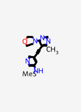 CSNc1cncc(C#Cc2c(C)ncnc2N2CCOCC2)c1